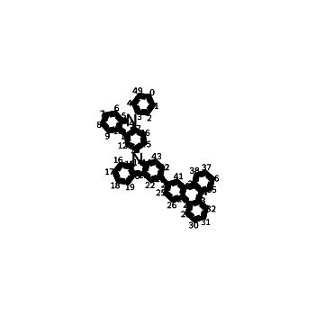 c1ccc(-n2c3ccccc3c3cc(-n4c5ccccc5c5cc(-c6ccc7c8ccccc8c8ccccc8c7c6)ccc54)ccc32)cc1